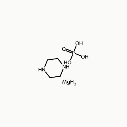 C1CNCCN1.O=P(O)(O)O.[MgH2]